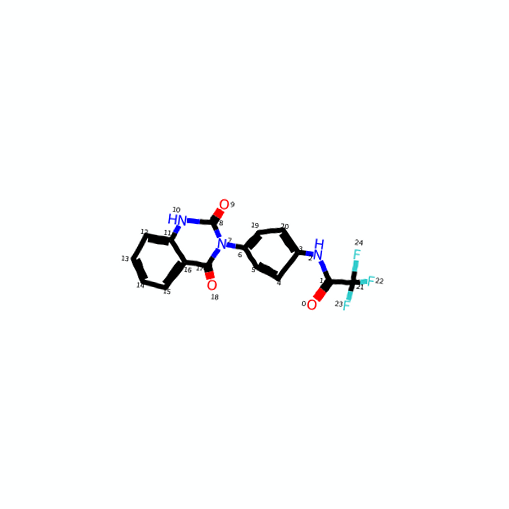 O=C(Nc1ccc(-n2c(=O)[nH]c3ccccc3c2=O)cc1)C(F)(F)F